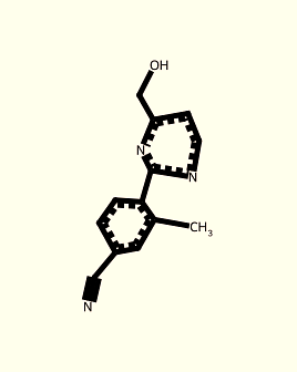 Cc1cc(C#N)ccc1-c1nccc(CO)n1